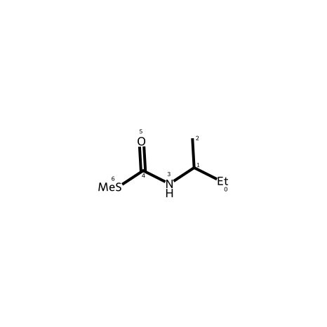 CCC(C)NC(=O)SC